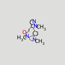 CN1CCC(N(C)C(=O)/C=C/c2c(-c3ccccc3)n(C)c3ncccc23)CC1